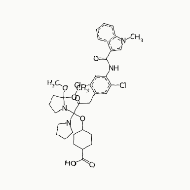 COC1(OC)CCCN1C(OC1CCC(C(=O)O)CC1)(C(=O)Cc1cc(Cl)c(NC(=O)c2cn(C)c3ccccc23)cc1Cl)N1CCCC1